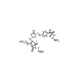 C[C@H]1C(S[C@@H]2CN[C@H](CSc3ccc(NS(=O)(=O)CCN)cc3)C2)=C(OC(=O)O)N2C(=O)[C@@H](CCO)[C@@H]12